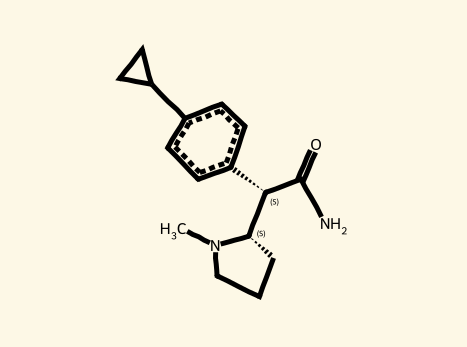 CN1CCC[C@H]1[C@@H](C(N)=O)c1ccc(C2CC2)cc1